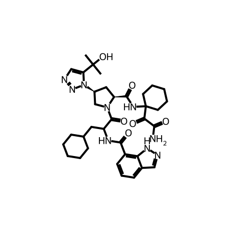 CC(C)(O)c1cnnn1[C@H]1C[C@@H](C(=O)NC2(C(=O)C(N)=O)CCCCC2)N(C(=O)C(CC2CCCCC2)NC(=O)c2cccc3cn[nH]c23)C1